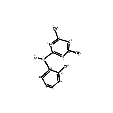 CC(=O)N(c1nc(O)nc(O)n1)c1ccccc1Cl